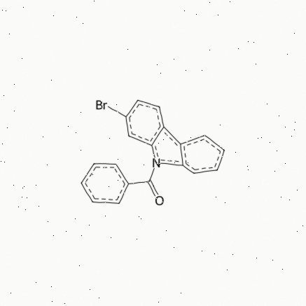 O=C(c1ccccc1)n1c2ccccc2c2ccc(Br)cc21